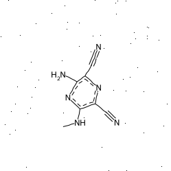 CNc1nc(N)c(C#N)nc1C#N